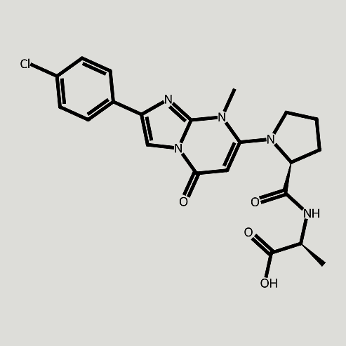 C[C@H](NC(=O)[C@@H]1CCCN1c1cc(=O)n2cc(-c3ccc(Cl)cc3)nc2n1C)C(=O)O